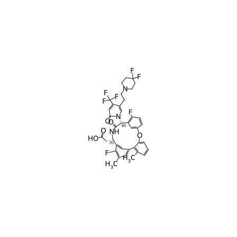 Cc1cc2cc(c1F)[C@H](CC(=O)O)NC(=O)[C@H](n1cc(CCN3CCC(F)(F)CC3)c(C(F)(F)F)cc1=O)c1cc(ccc1F)Oc1cccc(C)c1-2